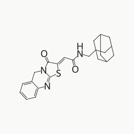 O=C(C=c1sc2n(c1=O)Cc1ccccc1N=2)NCC12CC3CC(CC(C3)C1)C2